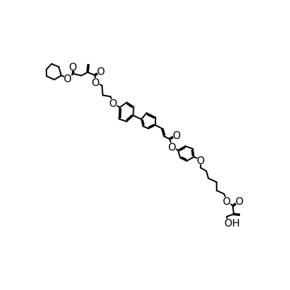 C=C(CO)C(=O)OCCCCCCOc1ccc(OC(=O)/C=C/c2ccc(-c3ccc(OCCCOC(=O)C(=C)CC(=O)OC4CCCCC4)cc3)cc2)cc1